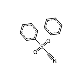 N#CS(=O)(=O)c1ccccc1.c1ccccc1